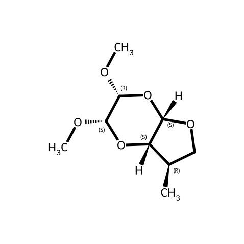 CO[C@@H]1O[C@@H]2OC[C@@H](C)[C@@H]2O[C@@H]1OC